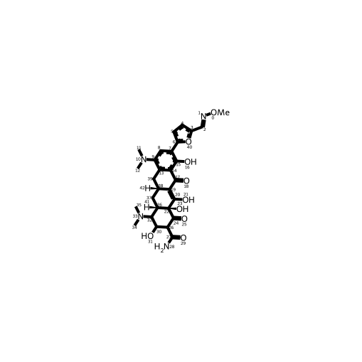 CO/N=C/c1ccc(-c2cc(N(C)C)c3c(c2O)C(=O)C2=C(O)[C@]4(O)C(=O)C(C(N)=O)C(O)C(N(C)C)[C@@H]4C[C@@H]2C3)o1